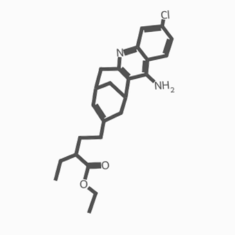 CCOC(=O)C(CC)CCC1=CC2Cc3nc4cc(Cl)ccc4c(N)c3C(C1)C2